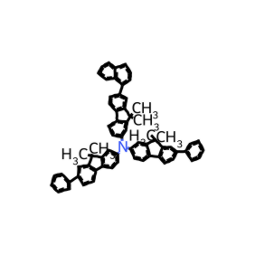 CC1(C)c2cc(-c3ccccc3)ccc2-c2ccc(N(c3ccc4c(c3)C(C)(C)c3cc(-c5ccccc5)ccc3-4)c3ccc4c(c3)C(C)(C)c3cc(-c5cccc6ccccc56)ccc3-4)cc21